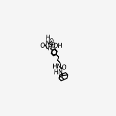 O=C1CN(c2ccc(CCCNC(=O)NC34CC5CC(CC(C5)C3)C4)cc2O)S(=O)(=O)N1